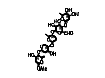 CO[C@@H]1C[C@@H](O)[C@H](O[C@H]2C[C@@H](O)[C@H](O[C@@H]3CC[C@H](O[C@@H]4O[C@@H](C=O)[C@@H](O[C@@H]5C[C@@H](O)[C@H](O)[C@H](C)O5)[C@H](O)C4O)[C@H](C)O3)CO2)C(C)O1